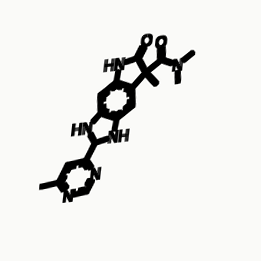 Cc1cc(C2Nc3cc4c(cc3N2)C(C)(C(=O)N(C)C)C(=O)N4)ncn1